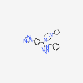 c1ccc(Cn2nnnc2C(c2ccc(-n3cncn3)cc2)N2CCCN(C3CCCC3)CC2)cc1